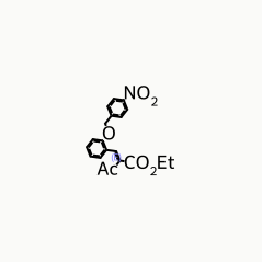 CCOC(=O)/C(=C/c1ccccc1OCc1ccc([N+](=O)[O-])cc1)C(C)=O